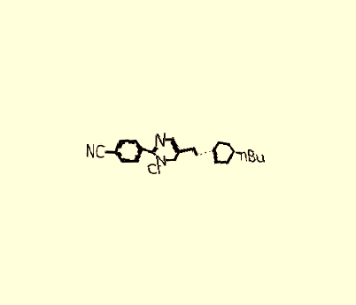 CCCC[C@H]1CC[C@H](CCC2=CN=C(c3ccc(C#N)cc3)N(Cl)C2)CC1